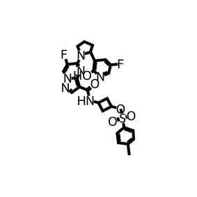 Cc1ccc(S(=O)(=O)OC2CC(NC(=O)c3cnn4cc(F)c(N5CCCC5c5cc(F)cnc5O)nc34)C2)cc1